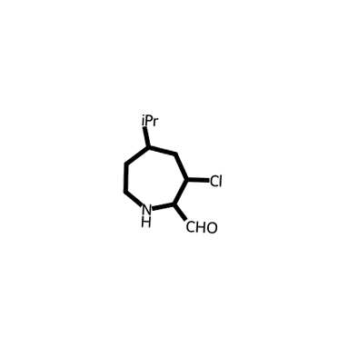 CC(C)C1CCNC(C=O)C(Cl)C1